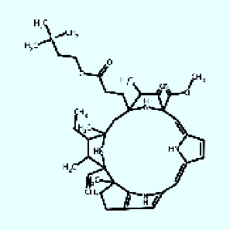 C=CC12NC(C)(CC3(CCC(=O)OCC[N+](C)(C)C)NC(C(=O)OC)(/C=c4/cc/c([nH]4)=C/c4cc5c([nH]4)C1(C)CC5)C(=O)C3C)C(CC)C2C